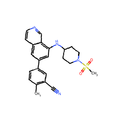 Cc1ccc(-c2cc(NC3CCN(S(C)(=O)=O)CC3)c3cnccc3c2)cc1C#N